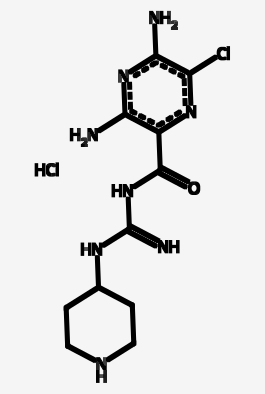 Cl.N=C(NC(=O)c1nc(Cl)c(N)nc1N)NC1CCNCC1